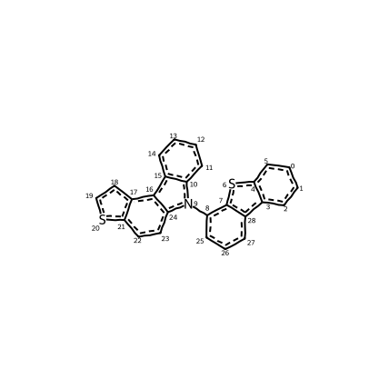 c1ccc2c(c1)sc1c(-n3c4ccccc4c4c5ccsc5ccc43)cccc12